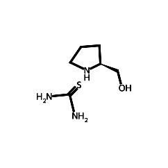 NC(N)=S.OC[C@@H]1CCCN1